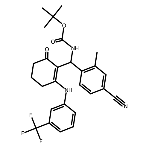 Cc1cc(C#N)ccc1C(NC(=O)OC(C)(C)C)C1=C(Nc2cccc(C(F)(F)F)c2)CCCC1=O